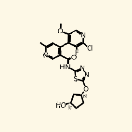 COc1cnc(Cl)c(F)c1-c1cc(C)ncc1C(=O)Nc1nnc(O[C@H]2CC[C@@H](O)C2)s1